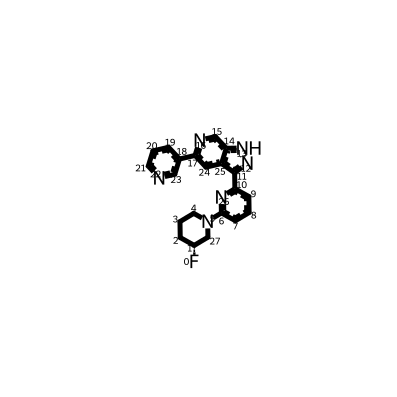 F[C@@H]1CCCN(c2cccc(-c3n[nH]c4cnc(-c5cccnc5)cc34)n2)C1